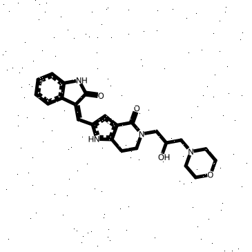 O=C1Nc2ccccc2C1=Cc1cc2c([nH]1)CCN(CC(O)CN1CCOCC1)C2=O